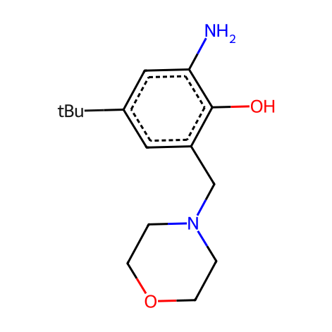 CC(C)(C)c1cc(N)c(O)c(CN2CCOCC2)c1